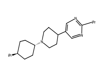 CC(C)c1ncc(C2CCN([C@H]3CC[C@H](C(C)C)CC3)CC2)cn1